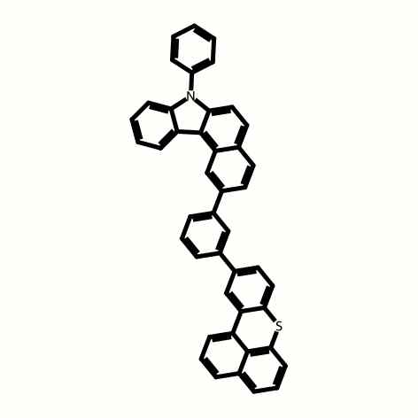 c1ccc(-n2c3ccccc3c3c4cc(-c5cccc(-c6ccc7c(c6)-c6cccc8cccc(c68)S7)c5)ccc4ccc32)cc1